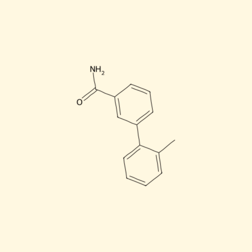 Cc1ccccc1-c1cccc(C(N)=O)c1